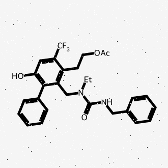 CCN(Cc1c(CCOC(C)=O)c(C(F)(F)F)cc(O)c1-c1ccccc1)C(=O)NCc1ccccc1